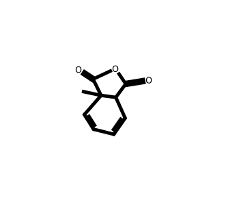 CC12C=CC=CC1C(=O)OC2=O